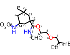 CCCCC(CC)COCCOC(NC=O)C1(C)CC(NC(=O)O)CC(C)(C)C1